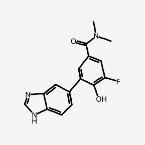 CN(C)C(=O)c1cc(F)c(O)c(-c2ccc3[nH]cnc3c2)c1